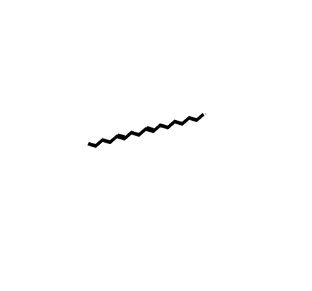 [CH2]CCCCCC/C=C/CC/C=C/CCCC